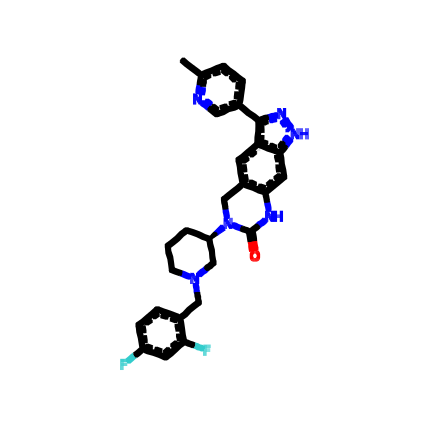 Cc1ccc(-c2n[nH]c3cc4c(cc23)CN([C@@H]2CCCN(Cc3ccc(F)cc3F)C2)C(=O)N4)cn1